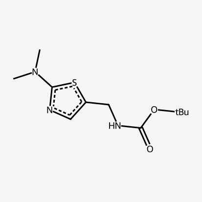 CN(C)c1ncc(CNC(=O)OC(C)(C)C)s1